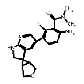 CN(C)C(=O)c1c(N)ccc(-c2cnc3c(c2)C2(CN3)C3COCC32)c1F